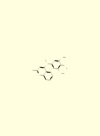 COc1cc(N(C)c2cc(C)nc3ccccc23)cc(OC)c1OC